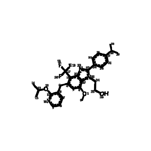 COc1cc(Cc2cccnc2OC(C)C)c(C(F)(F)F)c2nc(-c3ccc(C(C)C)cc3)n(CCO)c12